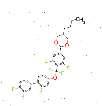 CCCCC1COC(c2cc(F)c(C(F)(F)Oc3ccc(-c4ccc(F)c(F)c4)c(F)c3)c(F)c2)OC1